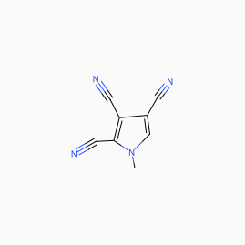 Cn1cc(C#N)c(C#N)c1C#N